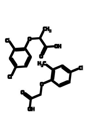 CC(Oc1ccc(Cl)cc1Cl)C(=O)O.Cc1cc(Cl)ccc1OCC(=O)O